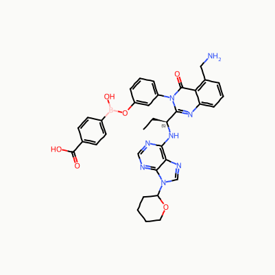 CC[C@H](Nc1ncnc2c1ncn2C1CCCCO1)c1nc2cccc(CN)c2c(=O)n1-c1cccc(OB(O)c2ccc(C(=O)O)cc2)c1